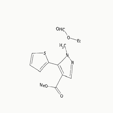 CCOC=O.COC(=O)c1cnn(C)c1-c1cccs1